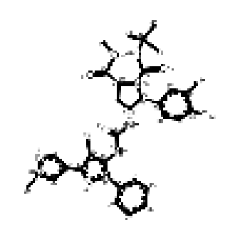 COC(=O)[C@@H]1C[C@@H](NC(=O)Nc2c(C)c(-c3cnn(C)c3)nn2-c2ccccc2)[C@H](c2ccc(F)c(F)c2)N1C(=O)OC(C)(C)C